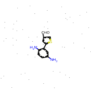 Nc1ccc(N)c(-c2cc(C=O)cs2)c1